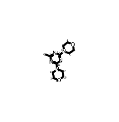 Cc1nc(N2CCOCC2)nc(N2CCOCC2)n1